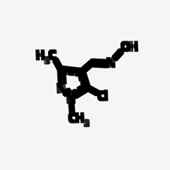 Cc1nn(C)c(Cl)c1C=NO